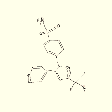 NS(=O)(=O)c1ccc(-n2nc(C(F)(F)F)cc2-c2ccncc2)cc1